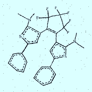 CN(C)c1sc(-c2ccccc2)cc1C1=C(c2cc(-c3ccccc3)sc2N(C)C)C(F)(F)C(F)(F)C1(F)F